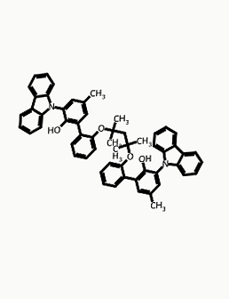 Cc1cc(-c2ccccc2OC(C)(C)CC(C)(C)Oc2ccccc2-c2cc(C)cc(-n3c4ccccc4c4ccccc43)c2O)c(O)c(-n2c3ccccc3c3ccccc32)c1